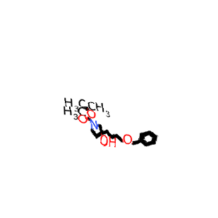 CC(C)(C)OC(=O)N1CC[C@@](O)(CCCCOCc2ccccc2)C1